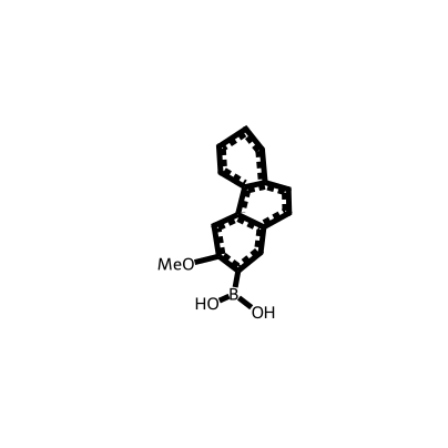 COc1cc2c(ccc3ccccc32)cc1B(O)O